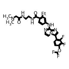 CCc1cc(Nc2nccn3c(-c4ccc(OC(F)F)c(F)c4F)cnc23)ccc1C(=O)NCCNC(=O)CN(C)C